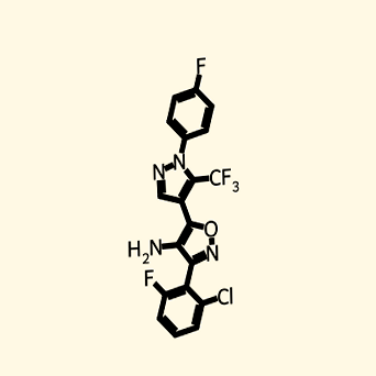 Nc1c(-c2c(F)cccc2Cl)noc1-c1cnn(-c2ccc(F)cc2)c1C(F)(F)F